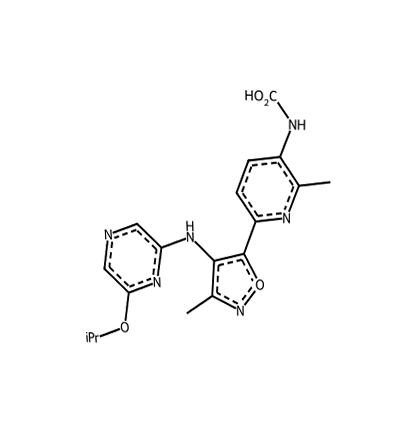 Cc1nc(-c2onc(C)c2Nc2cncc(OC(C)C)n2)ccc1NC(=O)O